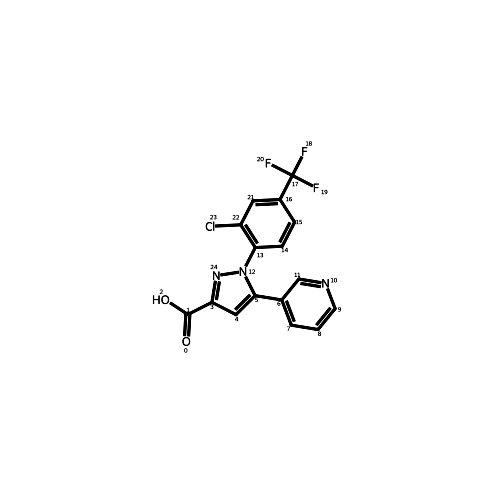 O=C(O)c1cc(-c2cccnc2)n(-c2ccc(C(F)(F)F)cc2Cl)n1